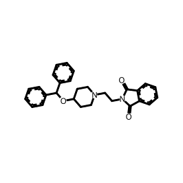 O=C1c2ccccc2C(=O)N1CCN1CCC(OC(c2ccccc2)c2ccccc2)CC1